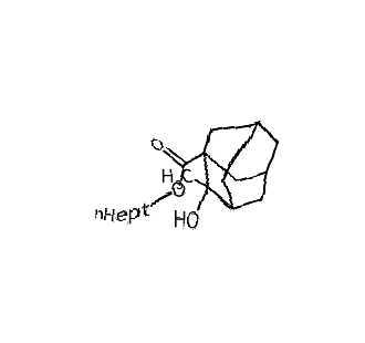 CCCCCCCOC(=O)C12CC3CC(CC(C3)C1(C)O)C2